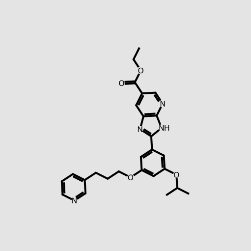 CCOC(=O)c1cnc2[nH]c(-c3cc(OCCCc4cccnc4)cc(OC(C)C)c3)nc2c1